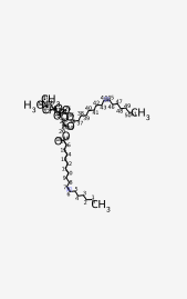 CCCCCC/C=C\CCCCCCCCCC(=O)OC[C@H](COP(=O)([O-])OCC[N+](C)(C)C)OC(=O)CCCCCCC/C=C\CCCCCC